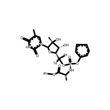 [2H]C([2H])(O[P@@](=O)(N[C@@H](C)C(=O)OC(C)C)Oc1ccccc1)[C@H]1OC(n2cc(C)c(=O)[nH]c2=O)[C@](C)(O)[C@@H]1O